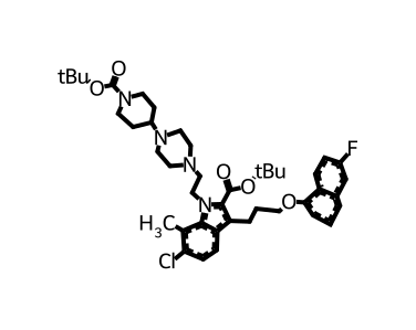 Cc1c(Cl)ccc2c(CCCOc3cccc4cc(F)ccc34)c(C(=O)OC(C)(C)C)n(CCN3CCN(C4CCN(C(=O)OC(C)(C)C)CC4)CC3)c12